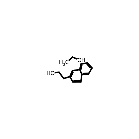 CCO.OCCc1ccc2ccccc2c1